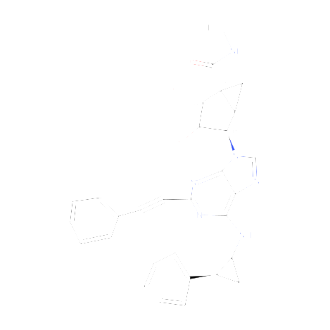 CNC(=O)[C@]12CC1[C@@H](n1cnc3c(NC4C[C@H]4c4ccccc4)nc(C#Cc4ccccc4)nc31)C(O)[C@@H]2O